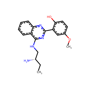 CC[C@H](N)CNc1nc(-c2cc(OC)ccc2O)nc2ccccc12